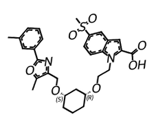 Cc1cccc(-c2nc(CO[C@H]3CCC[C@@H](OCCn4c(C(=O)O)cc5cc(S(C)(=O)=O)ccc54)C3)c(C)o2)c1